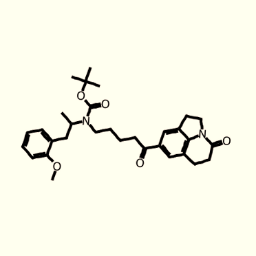 COc1ccccc1CC(C)N(CCCCC(=O)c1cc2c3c(c1)CCN3C(=O)CC2)C(=O)OC(C)(C)C